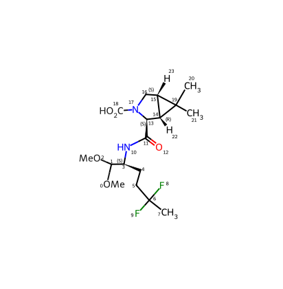 COC(OC)[C@H](CCC(C)(F)F)NC(=O)[C@@H]1[C@@H]2[C@H](CN1C(=O)O)C2(C)C